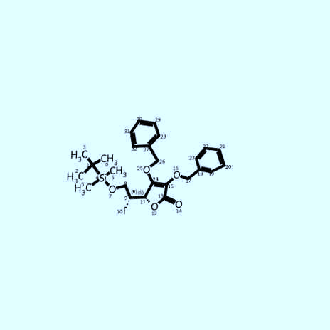 CC(C)(C)[Si](C)(C)OC[C@@H](I)[C@H]1OC(=O)C(OCc2ccccc2)=C1OCc1ccccc1